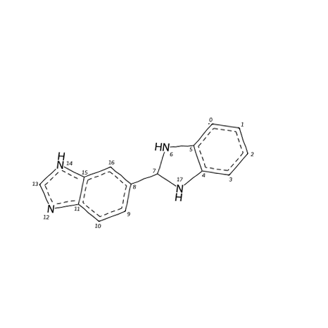 [c]1cccc2c1NC(c1ccc3nc[nH]c3c1)N2